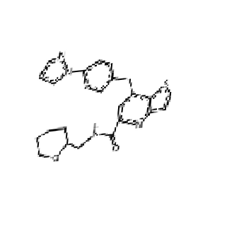 O=C(NCC1CCCCO1)c1cc(Cc2ccc(-n3cccn3)cc2)c2sccc2n1